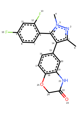 Cc1nn(C)c(-c2ccc(F)cc2F)c1-c1ccc2c(c1)NC(=O)CO2